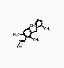 Cc1cc(C)c(Cn2ccnc2C)c(C)c1/C=N/O